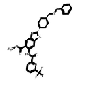 COC(=O)c1cc2nc([C@H]3CC[C@H](COCc4ccccc4)CC3)[nH]c2cc1NC(=O)c1cccc(C(F)(F)F)n1